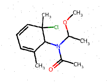 COC(C)N(C(C)=O)C1C(C)=CC=CC1(C)Cl